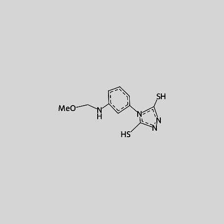 COCNc1cccc(-n2c(S)nnc2S)c1